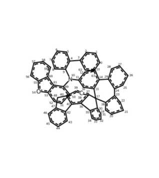 c1ccc(-c2ccccc2N(c2ccc3c(c2)C2(c4ccccc4-c4ccccc4-3)c3ccccc3-c3c2ccc2c3-c3ccccc3C2)c2cccc3oc4ccccc4c23)cc1